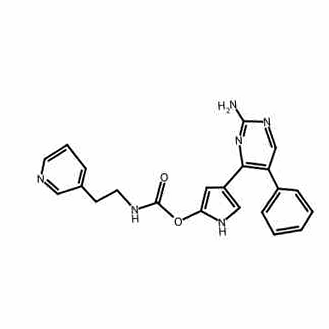 Nc1ncc(-c2ccccc2)c(-c2c[nH]c(OC(=O)NCCc3cccnc3)c2)n1